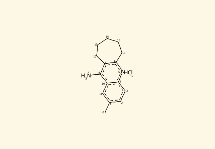 Cc1ccc2nc3c(c(N)c2c1)CCCCC3.Cl